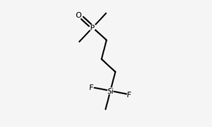 C[Si](F)(F)CCCP(C)(C)=O